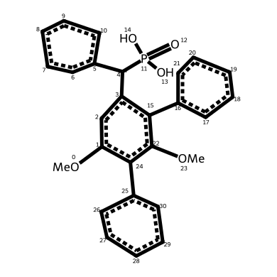 COc1cc([C](c2ccccc2)P(=O)(O)O)c(-c2ccccc2)c(OC)c1-c1ccccc1